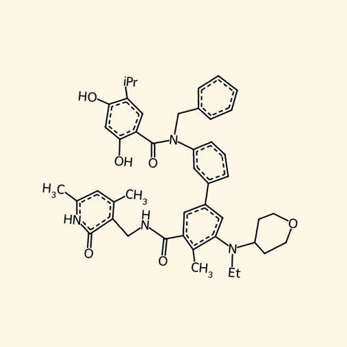 CCN(c1cc(-c2cccc(N(Cc3ccccc3)C(=O)c3cc(C(C)C)c(O)cc3O)c2)cc(C(=O)NCc2c(C)cc(C)[nH]c2=O)c1C)C1CCOCC1